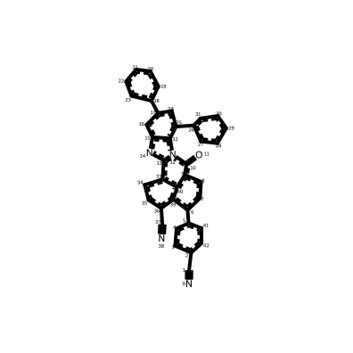 N#Cc1ccc(-c2ccc3c(=O)n4c(nc5cc(-c6ccccc6)cc(-c6ccccc6)c54)c4ccc(C#N)c2c34)cc1